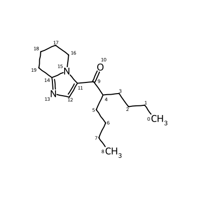 CCCCC(CCCC)C(=O)c1cnc2n1CCCC2